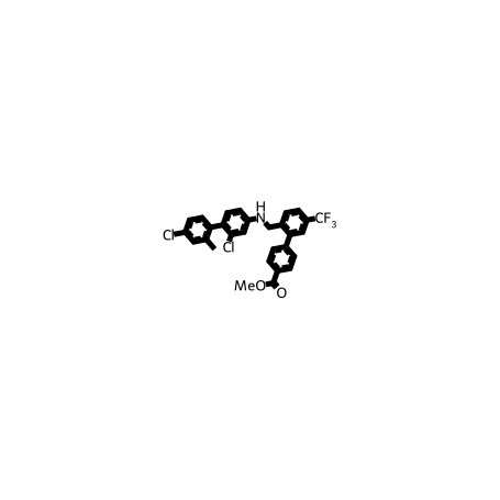 COC(=O)c1ccc(-c2cc(C(F)(F)F)ccc2CNc2ccc(-c3ccc(Cl)cc3C)c(Cl)c2)cc1